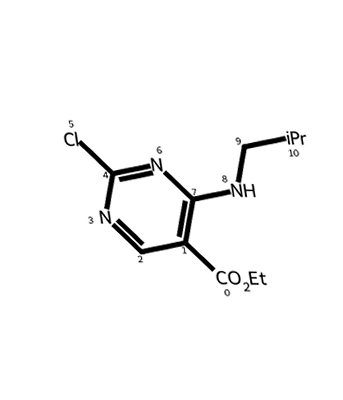 CCOC(=O)c1cnc(Cl)nc1NCC(C)C